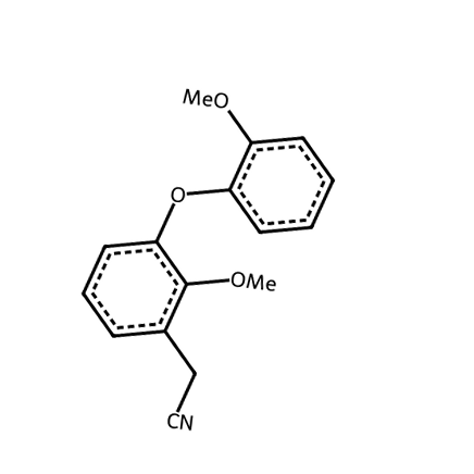 COc1ccccc1Oc1cccc(CC#N)c1OC